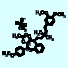 COc1ccc([C@H]2Sc3ccccc3N(CC[N+](C)(C)CCc3ccc(OC)c(OC)c3)C(=O)[C@H]2OC(C)=O)cc1.CS(=O)(=O)[O-]